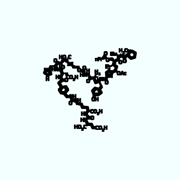 CCCC(=O)OCN(C(=O)[C@@H](NC(=O)[C@H]1CCCCN1C)C(C)CC)[C@H](C[C@@H](OC(C)=O)c1nc(C(=O)N[C@@H](Cc2ccc(O)cc2)C[C@H](C)C(=O)NNC(=O)OCCSSC[C@H](NC(=O)[C@H](Cc2c[nH]cn2)NC(=O)[C@H](CC(=O)O)NC(=O)Cc2ccc(CNC(=O)NCCCC[C@H](NC(=O)N[C@@H](CCC(=O)O)C(=O)O)C(=O)O)cc2)C(=O)O)cs1)C(C)C